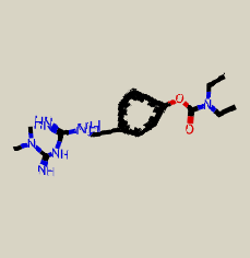 CCN(CC)C(=O)Oc1ccc(CNC(=N)NC(=N)N(C)C)cc1